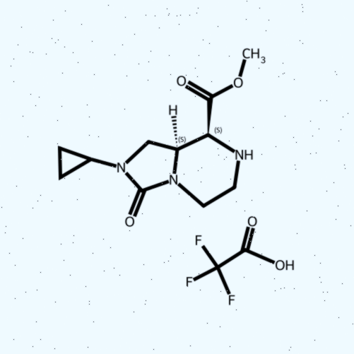 COC(=O)[C@H]1NCCN2C(=O)N(C3CC3)C[C@@H]12.O=C(O)C(F)(F)F